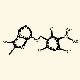 CC(=O)N(C(C)=O)c1c(Cl)cc(Cl)c(COc2cccn3c(Br)c(C)nc23)c1Cl